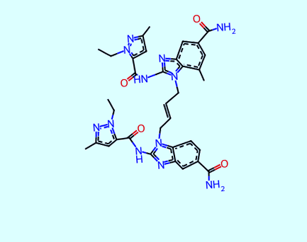 CCn1nc(C)cc1C(=O)Nc1nc2cc(C(N)=O)ccc2n1C/C=C/Cn1c(NC(=O)c2cc(C)nn2CC)nc2cc(C(N)=O)cc(C)c21